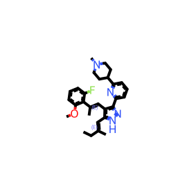 CC/C(C)=C/c1[nH]nc(-c2cccc(C3CCN(C)CC3)n2)c1/C=C(\C)c1c(F)cccc1OC